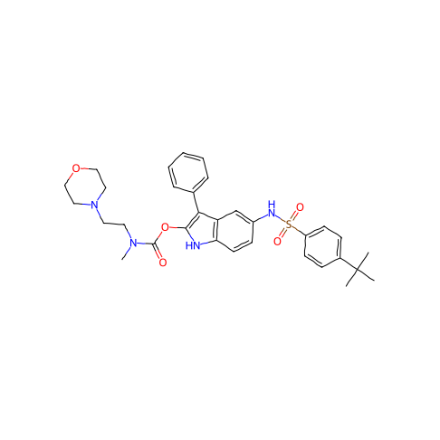 CN(CCN1CCOCC1)C(=O)Oc1[nH]c2ccc(NS(=O)(=O)c3ccc(C(C)(C)C)cc3)cc2c1-c1ccccc1